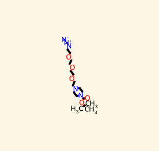 CC(C)(C)OC(=O)N1CCN(CCOCCOCCOCCN=[N+]=[N-])CC1